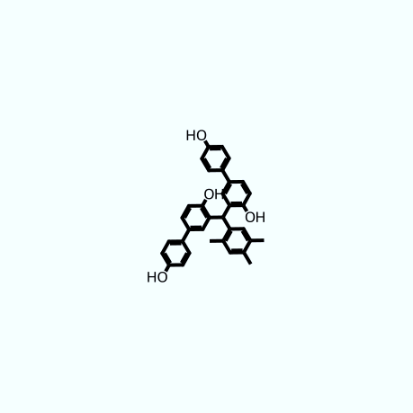 Cc1cc(C)c(C(c2cc(-c3ccc(O)cc3)ccc2O)c2cc(-c3ccc(O)cc3)ccc2O)cc1C